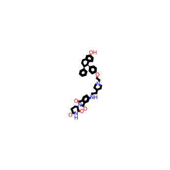 O=C1CCC(N2C(=O)c3ccc(NCCC4CCN(CCOc5ccc([C@@H]6c7ccc(O)cc7CC[C@@H]6c6ccccc6)cc5)CC4)cc3C2=O)C(=O)N1